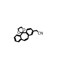 N#CCc1ccc2c(c1)C=Cc1ccccc1C21OCCO1